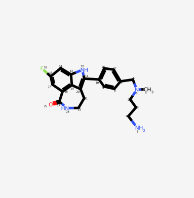 CN(CCCN)Cc1ccc(-c2[nH]c3cc(F)cc4c3c2CCNC4=O)cc1